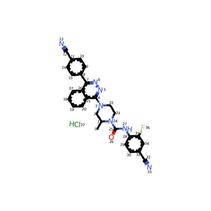 CC1CN(c2nnc(-c3ccc(C#N)cc3)c3ccccc23)CCN1C(=O)Nc1ccc(C#N)cc1F.Cl